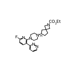 CCOC(=O)N1CC2(CC[C@@H](N3CCN(c4nc(F)ccc4-c4cccnn4)CC3)C2)C1